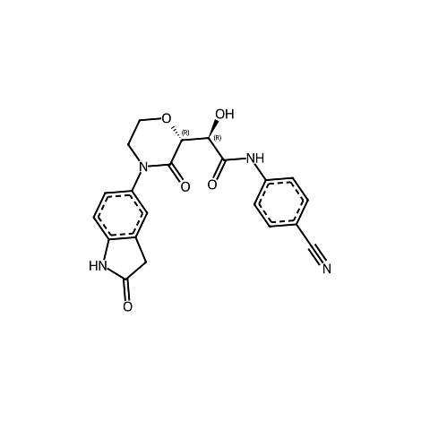 N#Cc1ccc(NC(=O)[C@H](O)[C@H]2OCCN(c3ccc4c(c3)CC(=O)N4)C2=O)cc1